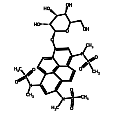 CN(c1cc(O[C@@H]2O[C@H](CO)[C@H](O)[C@H](O)[C@H]2O)c2ccc3c(N(C)S(C)(=O)=O)cc(N(C)S(C)(=O)=O)c4ccc1c2c34)S(C)(=O)=O